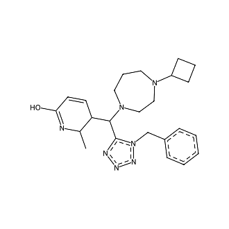 CC1N=C(O)C=CC1C(c1nnnn1Cc1ccccc1)N1CCCN(C2CCC2)CC1